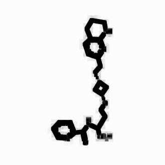 O=C(NC(CCO[C@H]1C[C@@H](CCc2ccc3c(n2)NCCC3)C1)C(=O)O)c1ccccn1